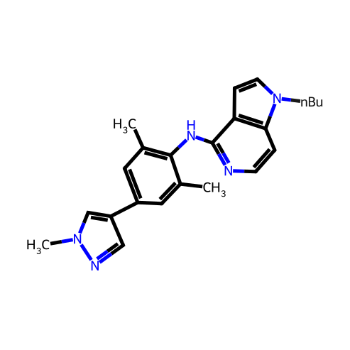 CCCCn1ccc2c(Nc3c(C)cc(-c4cnn(C)c4)cc3C)nccc21